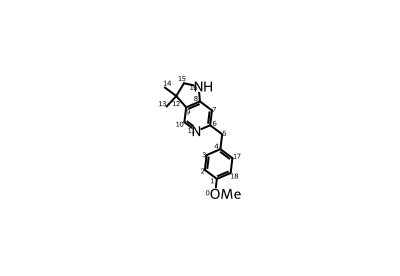 COc1ccc(Cc2cc3c(cn2)C(C)(C)CN3)cc1